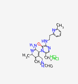 C=C1C(CNC=O)=C(n2c(C)cnc(NCCc3cccc(C)n3)c2=O)C(N)=NC1C.Cl.Cl